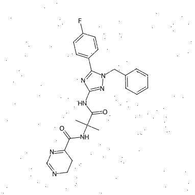 CC(C)(NC(=O)C1=NC=NCC1)C(=O)Nc1nc(-c2ccc(F)cc2)n(Cc2ccccc2)n1